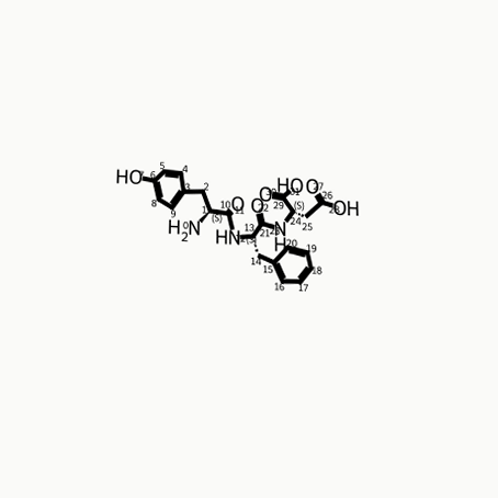 N[C@@H](Cc1ccc(O)cc1)C(=O)N[C@@H](Cc1ccccc1)C(=O)N[C@@H](CC(=O)O)C(=O)O